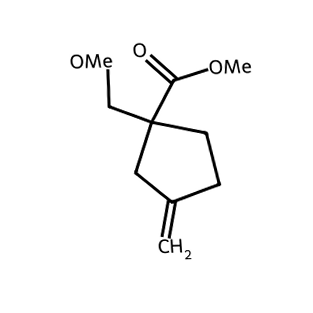 C=C1CCC(COC)(C(=O)OC)C1